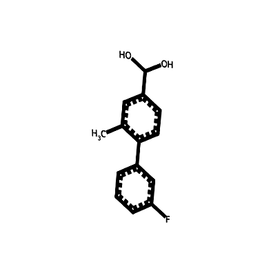 Cc1cc(C(O)O)ccc1-c1cccc(F)c1